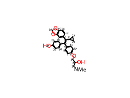 CNCC(O)COc1ccc(C(=C(c2ccc3c(c2)OCO3)C2CC2)c2ccc(O)cc2)cc1